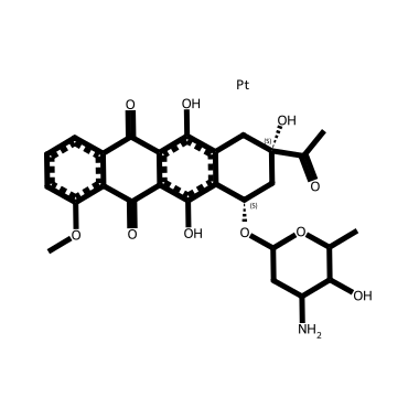 COc1cccc2c1C(=O)c1c(O)c3c(c(O)c1C2=O)C[C@@](O)(C(C)=O)C[C@@H]3OC1CC(N)C(O)C(C)O1.[Pt]